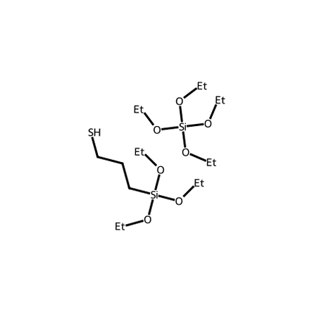 CCO[Si](CCCS)(OCC)OCC.CCO[Si](OCC)(OCC)OCC